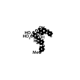 COc1ccc(Oc2ccc3c(O)c(C(=O)NC(C(=O)O)C(NC(=O)c4ncc5cc(Oc6ccccc6)ccc5c4CO)C(=O)O)ncc3c2)cc1